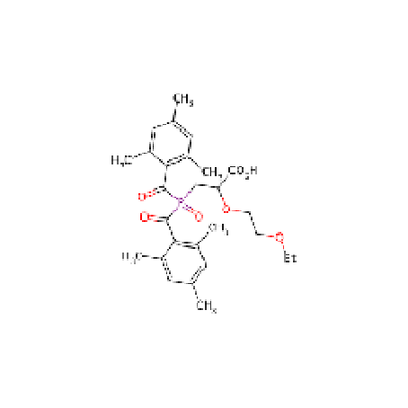 CCOCCOC(CP(=O)(C(=O)c1c(C)cc(C)cc1C)C(=O)c1c(C)cc(C)cc1C)C(=O)O